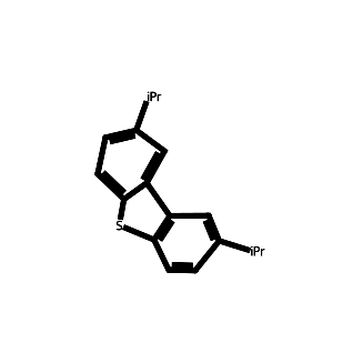 CC(C)c1ccc2sc3ccc(C(C)C)cc3c2c1